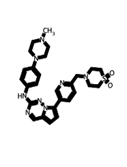 CN1CCN(c2ccc(Nc3ncc4ccc(-c5ccc(CN6CCS(=O)(=O)CC6)nc5)n4n3)cc2)CC1